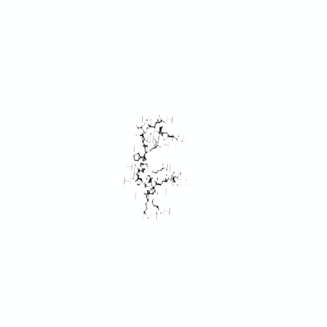 CCC(C)[C@H](NC(=O)[C@@H](NC(=O)C(N)CCCCN)[C@@H](O)CN)C(=O)NCC(=O)N[C@H](CCCN)C(=O)N1CCC[C@H]1C(=O)NC(Cc1cnc[nH]1)C(=O)N[C@@H](CCCCN)C(=O)N/C(=C\CCNC(=N)N)C(=O)N[C@@H](CCCCN)C(=O)NCCCCN